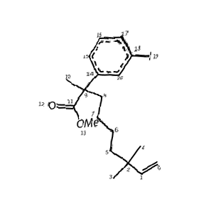 C=CC(C)(C)CCCCC(C)(C(=O)OC)c1cccc(I)c1